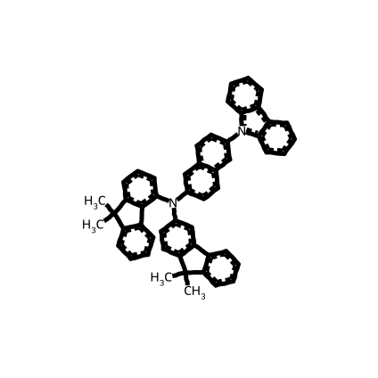 CC1(C)c2ccccc2-c2cc(N(c3ccc4cc(-n5c6ccccc6c6ccccc65)ccc4c3)c3cccc4c3-c3ccccc3C4(C)C)ccc21